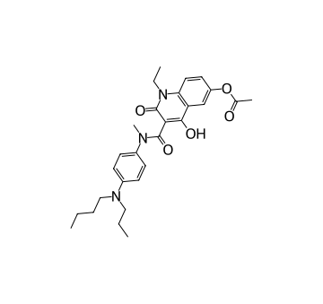 CCCCN(CCC)c1ccc(N(C)C(=O)c2c(O)c3cc(OC(C)=O)ccc3n(CC)c2=O)cc1